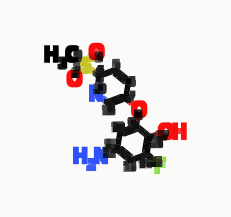 CS(=O)(=O)c1ccc(Oc2cc(N)cc(F)c2O)cn1